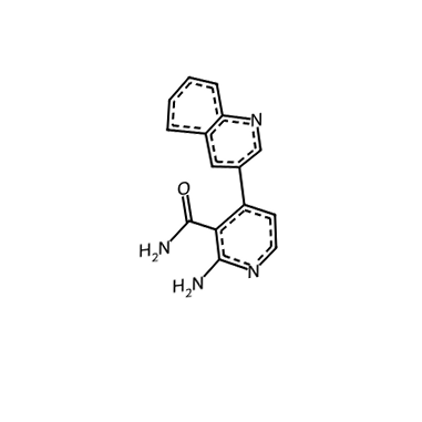 NC(=O)c1c(-c2cnc3ccccc3c2)ccnc1N